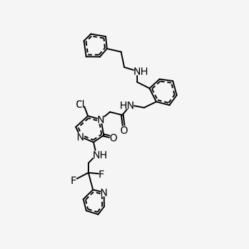 O=C(Cn1c(Cl)cnc(NCC(F)(F)c2ccccn2)c1=O)NCc1ccccc1CNCCc1ccccc1